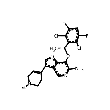 CCN1CC=C(c2coc3c(O[C@H](C)c4c(Cl)c(F)cc(F)c4Cl)c(N)ncc23)CC1